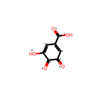 O=C(O)C1=CC(=O)C(=O)C(O)=C1